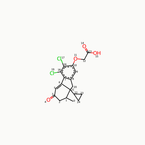 CC1CC(=O)C=C2c3c(cc(OCC(=O)O)c(Cl)c3Cl)CC21C1CC1